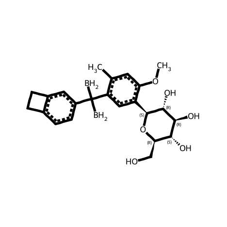 BC(B)(c1ccc2c(c1)CC2)c1cc([C@@H]2O[C@H](CO)[C@@H](O)[C@H](O)[C@H]2O)c(OC)cc1C